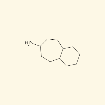 PC1CCC2CCCCC2CC1